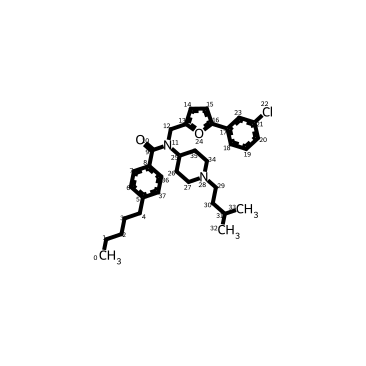 CCCCCc1ccc(C(=O)N(Cc2ccc(-c3cccc(Cl)c3)o2)C2CCN(CCC(C)C)CC2)cc1